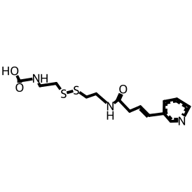 O=C(O)NCCSSCCNC(=O)CC=Cc1cccnc1